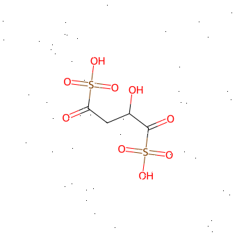 O=C(CC(O)C(=O)S(=O)(=O)O)S(=O)(=O)O